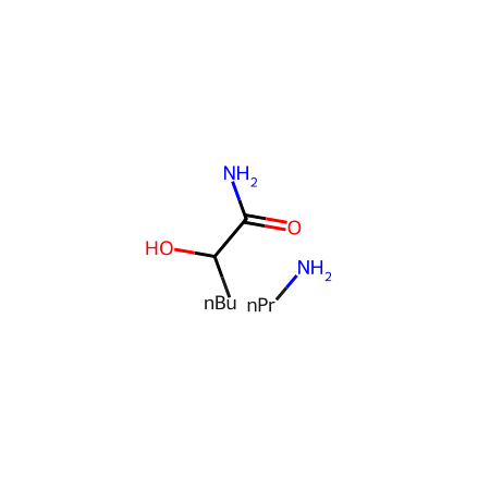 CCCCC(O)C(N)=O.CCCN